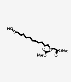 COC(=O)CN(CCCCCCCCCCCSO)CC(=O)OC